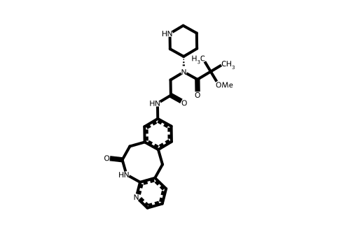 COC(C)(C)C(=O)N(CC(=O)Nc1ccc2c(c1)CC(=O)Nc1ncccc1C2)[C@H]1CCCNC1